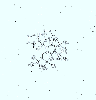 CC(C)(C)c1cc(CP(C(C)(C)C)C(C)(C)C)c(C(P)(C2NCCCN2)C2NCCCN2)cc1C(C)(C)C